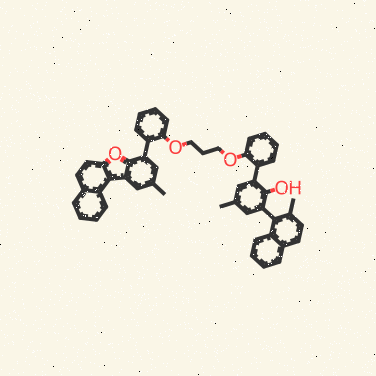 Cc1cc(-c2ccccc2OCCCOc2ccccc2-c2cc(C)cc3c2oc2ccc4ccccc4c23)c(O)c(-c2c(C)ccc3ccccc23)c1